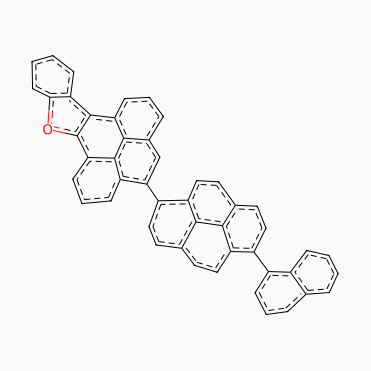 c1ccc2c(-c3ccc4ccc5c(-c6cc7cccc8c9c%10ccccc%10oc9c9cccc6c9c78)ccc6ccc3c4c65)cccc2c1